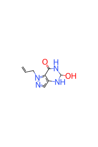 C=CCn1ncc2c1C(=O)NC(O)N2